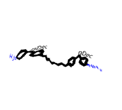 CCCCCCCCCCC(c1ccc(N)cc1)c1ccc(CCCCCCCCCc2ccc(C(CCCCCCCCCC)c3ccc(N)cc3)cc2)cc1